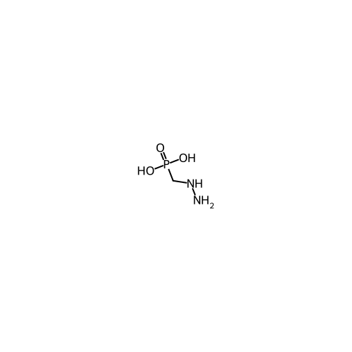 NNCP(=O)(O)O